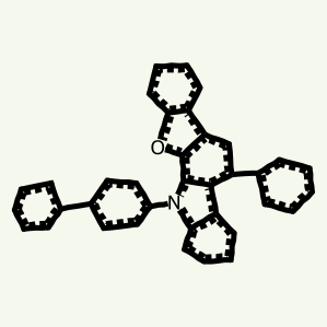 c1ccc(-c2ccc(-n3c4ccccc4c4c(-c5ccccc5)cc5c6ccccc6oc5c43)cc2)cc1